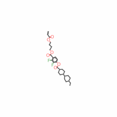 C=CC(=O)OCCCCOC(=O)c1ccc(OC(=O)C2CCC(C3CCC(CC)CC3)CC2)c(F)c1F